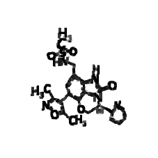 Cc1noc(C)c1-c1cc(CNS(C)(=O)=O)c2[nH]c(=O)n3c2c1OC[C@@H]3c1ccccn1